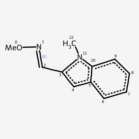 CO/N=C/c1cc2ccccc2n1C